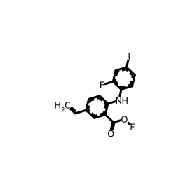 C=Cc1ccc(Nc2ccc(I)cc2F)c(C(=O)OF)c1